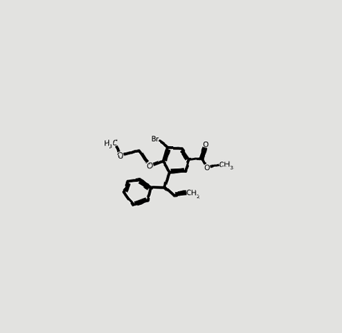 C=CC(c1ccccc1)c1cc(C(=O)OC)cc(Br)c1OCOC